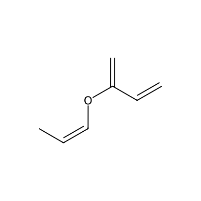 C=CC(=C)O/C=C\C